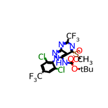 CC(C)(C)OC(=O)Nc1c2c(S(C)(=O)=O)nc(C(F)(F)F)nc2nn1-c1c(Cl)cc(C(F)(F)F)cc1Cl